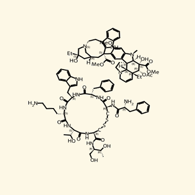 CC(O)[C@@H]1NC(=O)[C@H](CCCCN)NC(=O)[C@@H](Cc2c[nH]c3ccccc23)NC(=O)[C@H](Cc2ccccc2)NC(=O)[C@@H](NC(=O)[C@H](N)Cc2ccccc2)CSSC[C@@H](C(=O)N[C@H](CO)[C@@H](C)O)NC1=O.CC[C@]1(O)C[C@@H]2C[N@@](CCc3c([nH]c4ccccc34)[C@@](C(=O)OC)(c3cc4c(cc3OC)N(C)[C@H]3[C@@](O)(C(=O)OC)[C@H](OC(C)=O)[C@]5(CC)C=CCN6CC[C@]43[C@@H]65)C2)C1